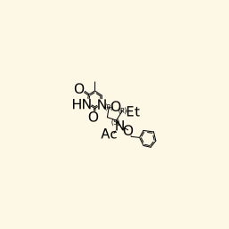 CC[C@H]1O[C@@H](n2cc(C)c(=O)[nH]c2=O)C[C@@H]1N(OCc1ccccc1)C(C)=O